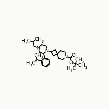 CC(C)CN1CCN(C2CC3(CCN(C(=O)OC(C)(C)C)CC3)C2)C(c2ccccc2C(C)C)C1